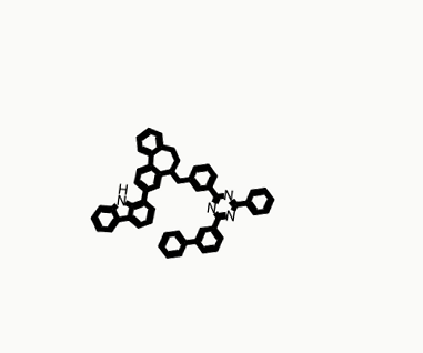 c1ccc(-c2cccc(-c3nc(-c4ccccc4)nc(-c4cccc(CC5CCc6ccccc6-c6ccc(-c7cccc8c7[nH]c7ccccc78)cc65)c4)n3)c2)cc1